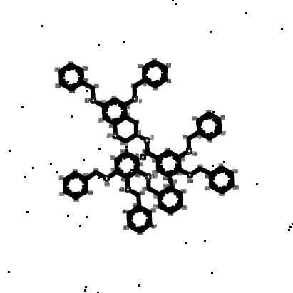 O=C(O[C@@H]1Cc2c(OCc3ccccc3)cc(OCc3ccccc3)cc2O[C@H]1c1cc(OCc2ccccc2)c(OCc2ccccc2)c(OCc2ccccc2)c1)c1cc(F)c(OCc2ccccc2)c(OCc2ccccc2)c1